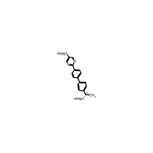 CCCCCCCc1cnc(-c2ccc(-c3ccc([C@H](C)CCCCCCC)cc3)cc2)nc1